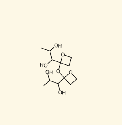 CC(O)C(O)C1(OC2(C(O)C(C)O)CCO2)CCO1